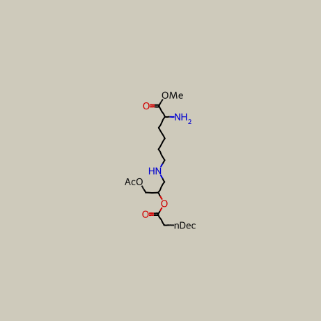 CCCCCCCCCCCC(=O)OC(CNCCCCC(N)C(=O)OC)COC(C)=O